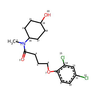 CN(C(=O)CCCOc1ccc(Cl)cc1Cl)C1CCC(O)CC1